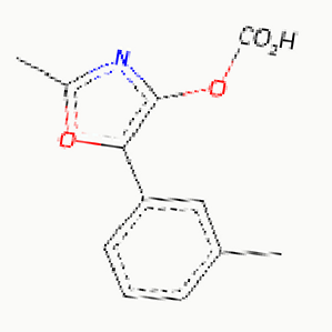 Cc1cccc(-c2oc(C)nc2OC(=O)O)c1